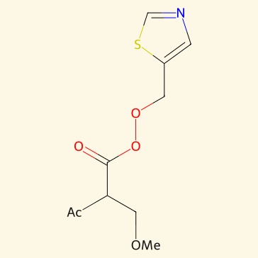 COCC(C(C)=O)C(=O)OOCc1cncs1